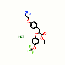 CCOC(=O)C(Cc1ccc(OCCN)cc1)Oc1ccc(OC(F)(F)F)cc1.Cl